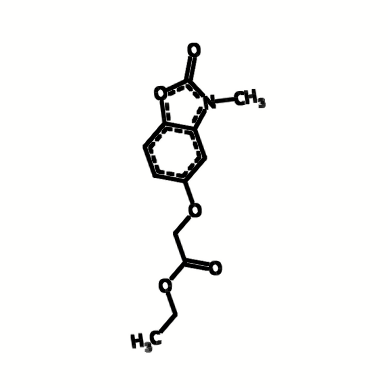 CCOC(=O)COc1ccc2oc(=O)n(C)c2c1